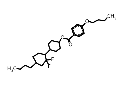 CCCCOc1ccc(C(=O)OC2CCC(C3CCC(CCCC)CC3(F)F)CC2)cc1